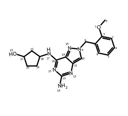 COc1ccccc1Cn1cc2nc(N)nc(NC3CCC(O)C3)c2n1